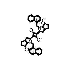 CC1CCC2=C/C(=C3/C(=O)C(c4cc5c(n4Cc4cccc6ccccc46)C(C)CC5)=C3[O-])[N+](Cc3cccc4ccccc34)=C21